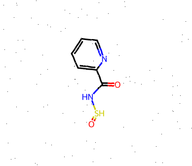 O=[SH]NC(=O)c1ccccn1